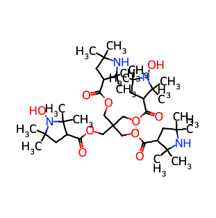 CC1(C)CC(C(=O)OCC(COC(=O)C2CC(C)(C)NC2(C)C)(COC(=O)C2CC(C)(C)N(O)C2(C)C)COC(=O)C2CC(C)(C)N(O)C2(C)C)C(C)(C)N1